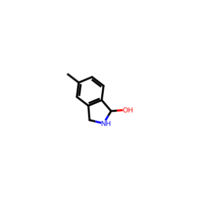 Cc1ccc2c(c1)CNC2O